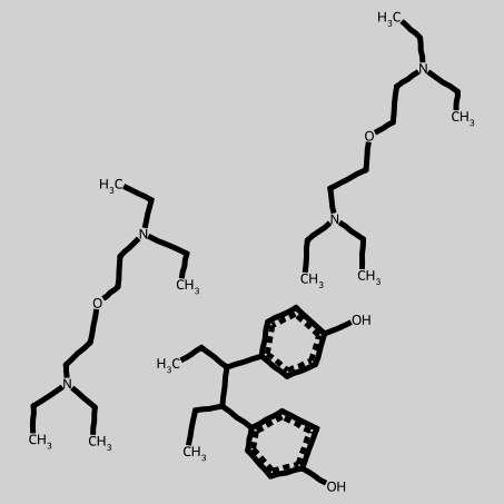 CCC(c1ccc(O)cc1)C(CC)c1ccc(O)cc1.CCN(CC)CCOCCN(CC)CC.CCN(CC)CCOCCN(CC)CC